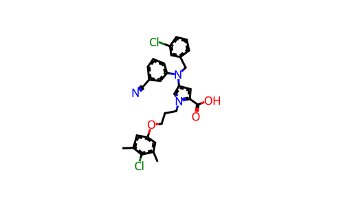 Cc1cc(OCCCn2cc(N(Cc3cccc(Cl)c3)c3cccc(C#N)c3)cc2C(=O)O)cc(C)c1Cl